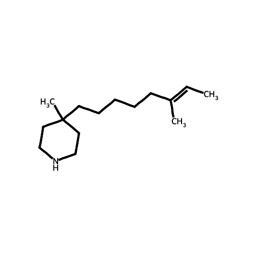 C/C=C(\C)CCCCCC1(C)CCNCC1